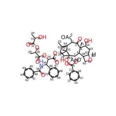 CC(=O)O[C@H]1C(=O)[C@@]2(C)C([C@H](OC(=O)c3ccccc3)[C@]3(O)C[C@H](OC(=O)[C@H](OC(=O)C(C)OC(=O)C(C)O)C(NC(=O)c4ccccc4)c4ccccc4)C(C)=C1C3(C)C)[C@]1(OC(C)=O)CO[C@@H]1C[C@@H]2O